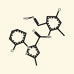 Cc1cc(C(=O)Nc2c(C)cc(Cl)cc2/C=N/O)n(-c2ccccc2Cl)n1